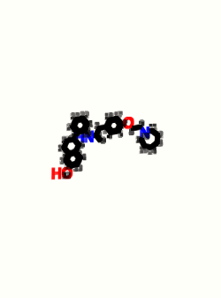 CC(Cc1ccc(OCCN2CCCCCC2)cc1)Nc1ccccc1C1CCc2cc(O)ccc2C1